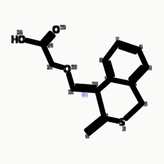 C=C1SCc2ccccc2/C1=C\OCC(=O)O